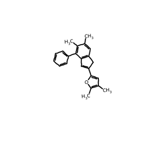 Cc1cc(C2=Cc3c(cc(C)c(C)c3-c3ccccc3)C2)oc1C